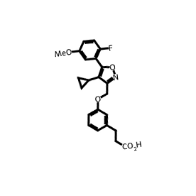 COc1ccc(F)c(-c2onc(COc3cccc(CCC(=O)O)c3)c2C2CC2)c1